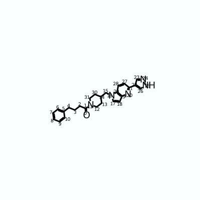 O=C(CCCc1ccccc1)N1CCC(Cn2ccc3nc(-c4cn[nH]c4)ccc32)CC1